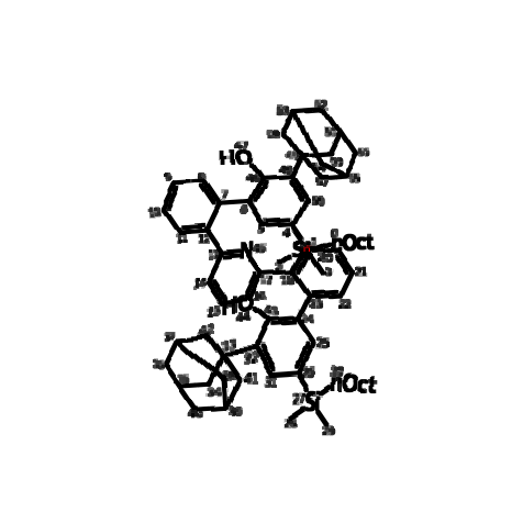 CCCCCCCC[Si](C)(C)c1cc(-c2ccccc2-c2cccc(-c3ccccc3-c3cc([Si](C)(C)CCCCCCCC)cc(C45CC6CC(CC(C6)C4)C5)c3O)n2)c(O)c(C23CC4CC(CC(C4)C2)C3)c1